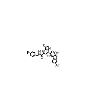 CC(=O)c1ccc2c(c1)C[C@H](O)[C@@H]2NC(=O)c1cc(C(=O)NCc2ccc(F)cc2)nc2c(F)cnn12